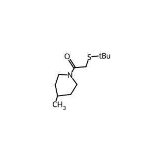 CC1CCN(C(=O)CSC(C)(C)C)CC1